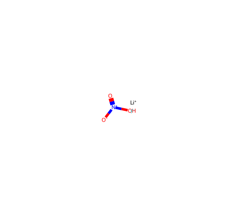 O=[N+]([O-])O.[F-].[Li+]